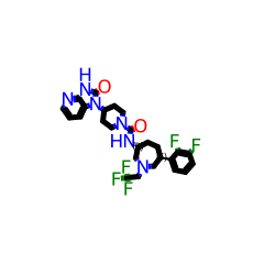 O=C(N[C@@H]1CC[C@@H](c2cccc(F)c2F)CN(CC(F)(F)F)C1)N1CCC(n2c(=O)[nH]c3ncccc32)CC1